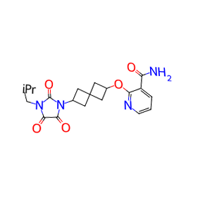 CC(C)CN1C(=O)C(=O)N(C2CC3(CC(Oc4ncccc4C(N)=O)C3)C2)C1=O